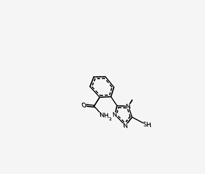 Cn1c(S)nnc1-c1ccccc1C(N)=O